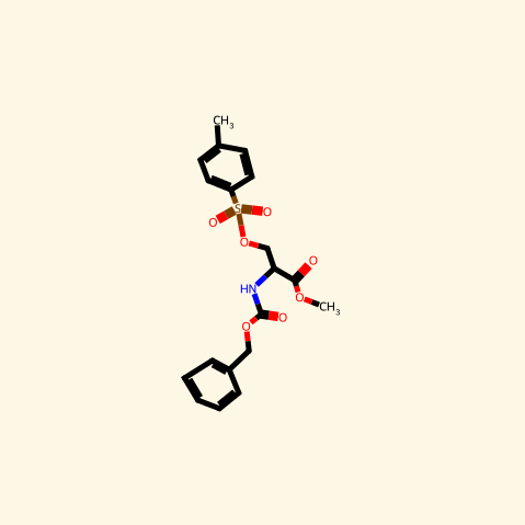 COC(=O)C(COS(=O)(=O)c1ccc(C)cc1)NC(=O)OCc1ccccc1